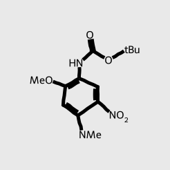 CNc1cc(OC)c(NC(=O)OC(C)(C)C)cc1[N+](=O)[O-]